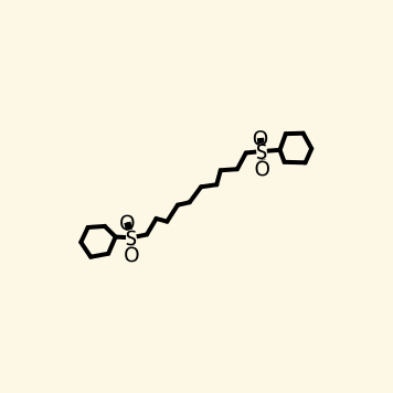 O=S(=O)(CCCCCCCCCCS(=O)(=O)C1CCCCC1)C1CCCCC1